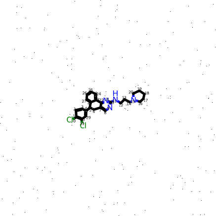 Clc1ccc(C2Cc3cnc(NCCCN4CCCCC4)nc3-c3ccccc32)cc1Cl